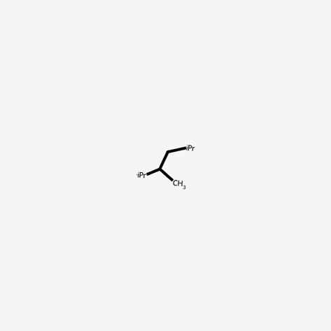 C[C](C)C(C)CC(C)C